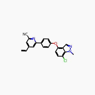 C=Cc1cc(C#N)nc(-c2ccc(Oc3ccc(Cl)c4c3cnn4C)cc2)c1